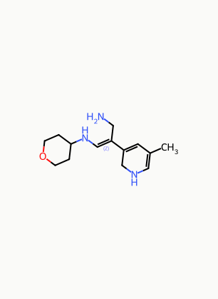 CC1=CNCC(/C(=C/NC2CCOCC2)CN)=C1